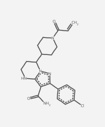 C=CC(=O)N1CCC(C2CCNc3c(C(N)=O)c(-c4ccc(Cl)cc4)nn32)CC1